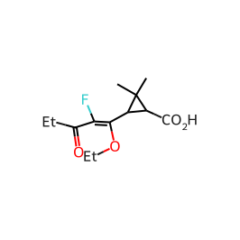 CCOC(=C(F)C(=O)CC)C1C(C(=O)O)C1(C)C